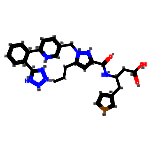 CCCc1cc(C(=O)NC(CC(=O)O)Cc2ccsc2)nn1Cc1ccc(-c2ccccc2-c2nnn[nH]2)nc1